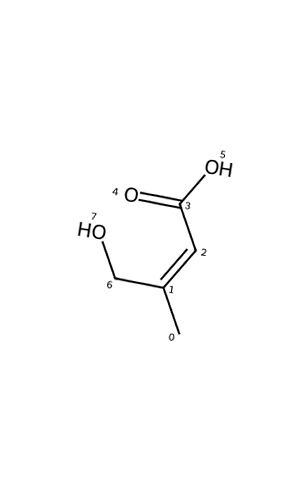 CC(=CC(=O)O)CO